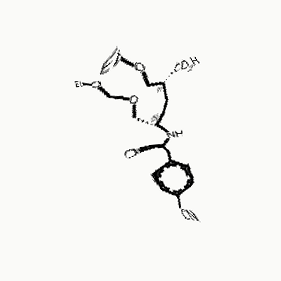 CCOCOC[C@H](C[C@H](COCC)C(=O)O)NC(=O)c1ccc(C#N)cc1